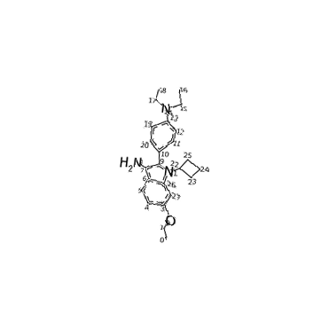 CCOc1ccc2c(N)c(-c3ccc(N(CC)CC)cc3)n(C3CCC3)c2c1